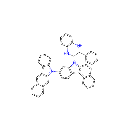 c1ccc(C2Nc3ccccc3NC2n2c3cc(-n4c5ccccc5c5cc6ccccc6cc54)ccc3c3c4ccccc4ccc32)cc1